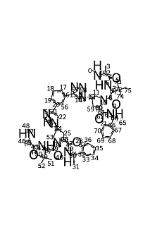 CN[C@@H](C)C(=O)N[C@H](C(=O)N1C[C@@H](n2cc(-c3cccc(-c4cn([C@H]5C[C@@H](C(=O)N[C@H](C)c6ccccc6)N(C(=O)[C@@H](NC(=O)[C@H](C)NC)C(C)(C)C)C5)nn4)c3)nn2)C[C@H]1C(=O)N[C@H](C)c1ccccc1)C(C)(C)C